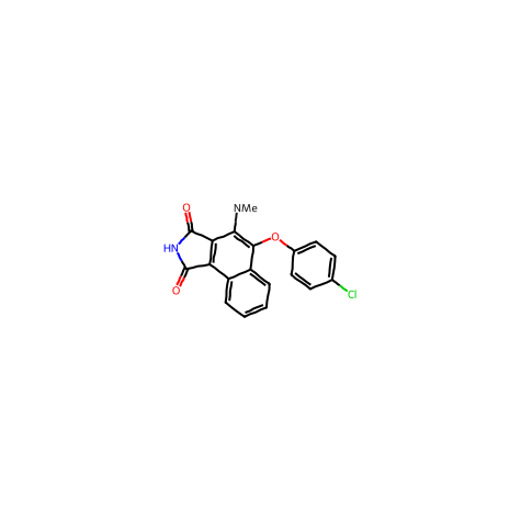 CNc1c2c(c3ccccc3c1Oc1ccc(Cl)cc1)C(=O)NC2=O